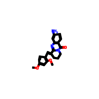 COc1ccc(C=C2CCCn3c2nc2cc(N)ccc2c3=O)c(OC)c1